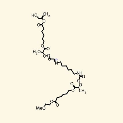 C=C(CO)OC(=O)CCCCCOC(=O)C(C)OOO/C=N/CCCCCCNC(=O)OOC(C)C(=O)OCCCCCC(=O)OCCOC